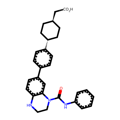 O=C(O)C[C@H]1CC[C@H](c2ccc(-c3ccc4c(c3)N(C(=O)Nc3ccccc3)CCN4)cc2)CC1